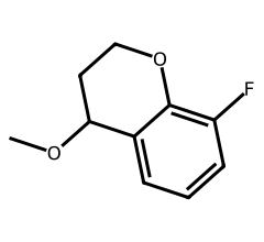 COC1CCOc2c(F)cccc21